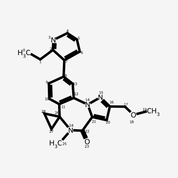 CCc1ncccc1-c1ccc2c(c1)-n1nc(COC)cc1C(=O)N(C)C21CC1